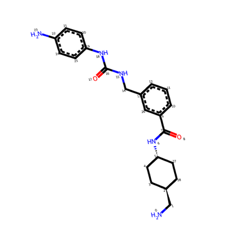 NC[C@H]1CC[C@H](NC(=O)c2cccc(CNC(=O)Nc3ccc(N)cc3)c2)CC1